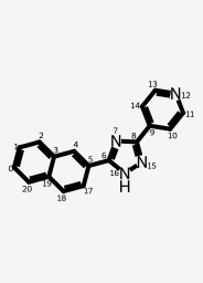 c1ccc2cc(-c3nc(-c4ccncc4)n[nH]3)ccc2c1